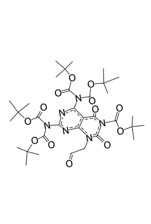 CC(C)(C)OC(=O)N(C(=O)OC(C)(C)C)c1nc(N(C(=O)OC(C)(C)C)C(=O)OC(C)(C)C)c2c(=O)n(C(=O)OC(C)(C)C)c(=O)n(CC=O)c2n1